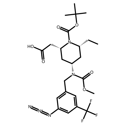 CC[C@@H]1C[C@H](N(Cc2cc(N=[N+]=[N-])cc(C(F)(F)F)c2)C(=O)OC)C[C@H](CC(=O)O)N1C(=O)OC(C)(C)C